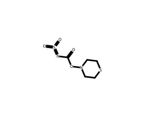 O=C(N=S(=O)=O)ON1CCSCC1